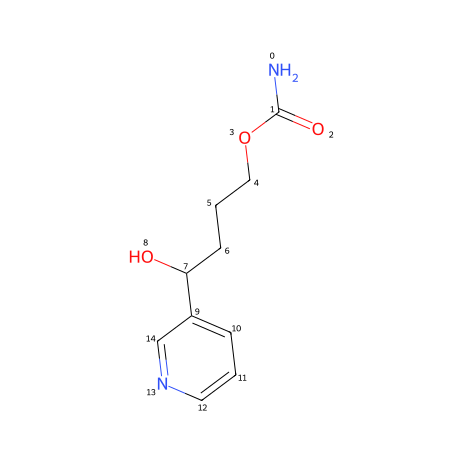 NC(=O)OCCCC(O)c1cccnc1